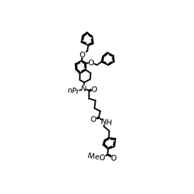 CCCN(C(=O)CCCCC(=O)NCCc1ccc(C(=O)OC)cc1)C1CCc2c(ccc(OCc3ccccc3)c2OCc2ccccc2)C1